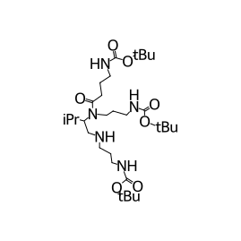 CC(C)C(CNCCCNC(=O)OC(C)(C)C)N(CCCNC(=O)OC(C)(C)C)C(=O)CCCNC(=O)OC(C)(C)C